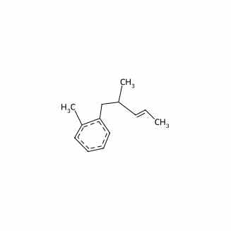 CC=CC(C)Cc1ccccc1C